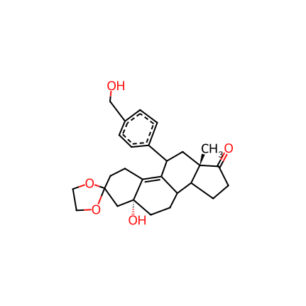 C[C@]12CC(c3ccc(CO)cc3)C3=C4CCC5(C[C@]4(O)CCC3C1CCC2=O)OCCO5